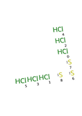 Cl.Cl.Cl.Cl.Cl.Cl.[S].[S].[S]